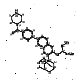 CCOC(OC)Oc1cc2ccc(-c3ccc(C(=O)N4CCNCC4)cc3)cc2cc1C12CC3CC(CC(C3)C1)C2